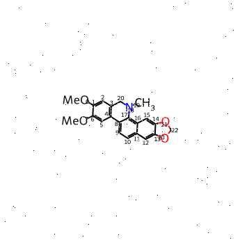 COc1cc2c(cc1OC)-c1ccc3cc4c(cc3c1N(C)C2)OCO4